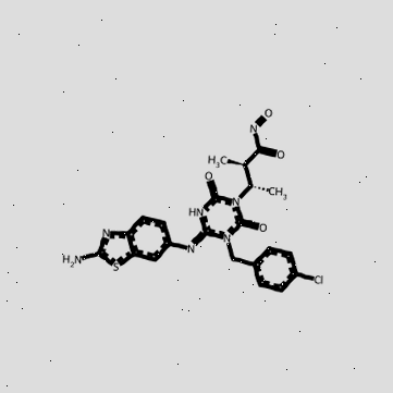 C[C@@H](C(=O)N=O)[C@H](C)n1c(=O)[nH]/c(=N\c2ccc3nc(N)sc3c2)n(Cc2ccc(Cl)cc2)c1=O